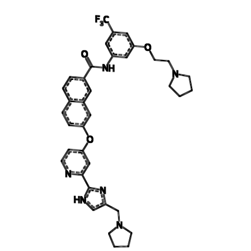 O=C(Nc1cc(OCCN2CCCC2)cc(C(F)(F)F)c1)c1ccc2ccc(Oc3ccnc(-c4nc(CN5CCCC5)c[nH]4)c3)cc2c1